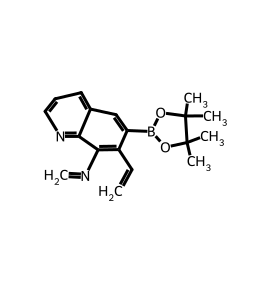 C=Cc1c(B2OC(C)(C)C(C)(C)O2)cc2cccnc2c1N=C